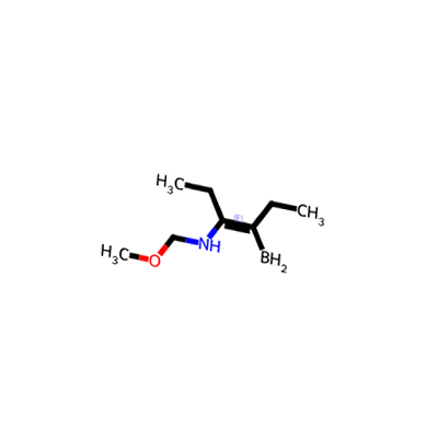 B/C(CC)=C(/CC)NCOC